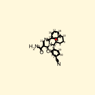 N#Cc1ccc([C@H](C2CCCCC2)N2C(c3cccnn3)=NC=C(C(N)=O)C2O)cc1